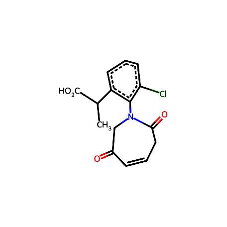 CC(C(=O)O)c1cccc(Cl)c1N1CC(=O)C=CCC1=O